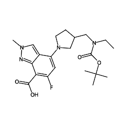 CCN(CC1CCN(c2cc(F)c(C(=O)O)c3nn(C)cc23)C1)C(=O)OC(C)(C)C